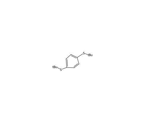 CC(C)(C)Sc1[c]cc(SC(C)(C)C)cc1